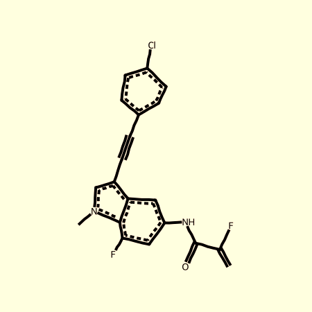 C=C(F)C(=O)Nc1cc(F)c2c(c1)c(C#Cc1ccc(Cl)cc1)cn2C